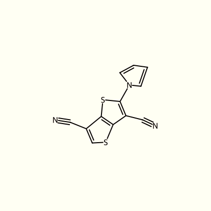 N#Cc1csc2c(C#N)c(-n3cccc3)sc12